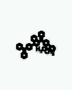 CC1(C)c2ccccc2-c2ccc(N(c3ccccc3)c3ccc(-c4ccc(N(c5ccccc5)c5ccccc5)cc4)c4ccccc34)cc21